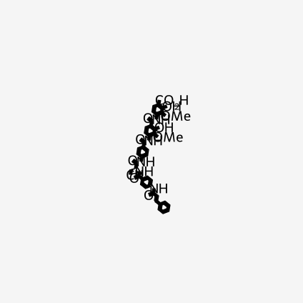 COc1c(NC(=O)c2ccc(NC(=O)c3ccc(NC(=O)[C@H](CC#N)NC(=O)c4ccc(NC(=O)/C=C/c5ccccc5)cc4)cc3)c(OC)c2O)ccc(C(=O)O)c1O